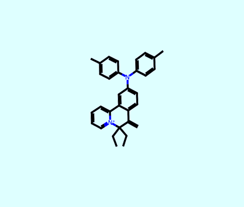 C=C1c2ccc(N(c3ccc(C)cc3)c3ccc(C)cc3)cc2-c2cccc[n+]2C1(CC)CC